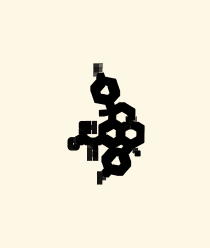 C[C@@]1(c2ccc(F)cc2)CCN2CC[C@@](C)(c3ccc(F)cc3)c3cc(NC(=O)S)cc1c32